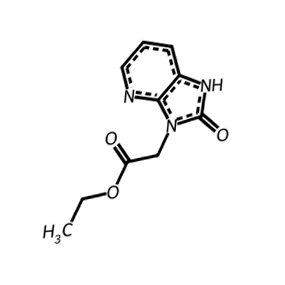 CCOC(=O)Cn1c(=O)[nH]c2cccnc21